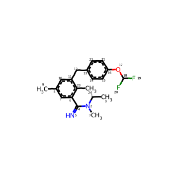 CCN(C)C(=N)c1cc(C)cc(Cc2ccc(OC(F)F)cc2)c1C